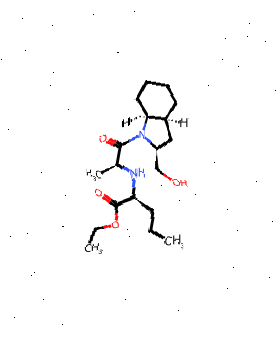 CCC[C@H](N[C@@H](C)C(=O)N1[C@H](CO)C[C@@H]2CCCC[C@@H]21)C(=O)OCC